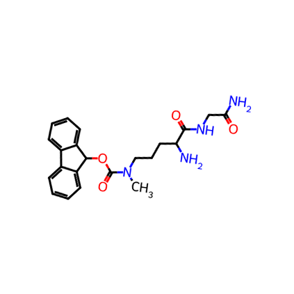 CN(CCCC(N)C(=O)NCC(N)=O)C(=O)OC1c2ccccc2-c2ccccc21